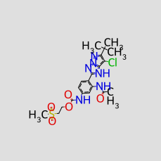 CC(=O)Nc1cc(NC(=O)OCCS(C)(=O)=O)ccc1-c1nn2nc(C(C)(C)C)c(Cl)c2[nH]1